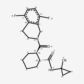 N#CC1(NC(=O)[C@@H]2CCCC[C@H]2C(=O)N2CCc3c(F)ccc(F)c3C2)CC1